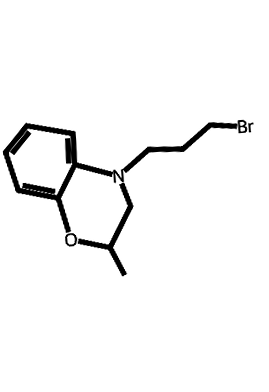 CC1CN(CCCBr)c2ccccc2O1